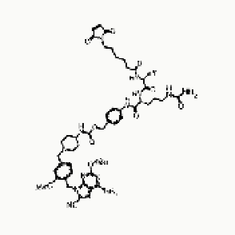 CCCCOc1nc(N)c2cc(C#N)n(Cc3ccc(CN4CCC(NC(=O)OCc5ccc(NC(=O)[C@H](CCCNC(N)=O)NC(=O)[C@@H](NC(=O)CCCCCN6C(=O)C=CC6=O)C(C)C)cc5)CC4)cc3OC)c2n1